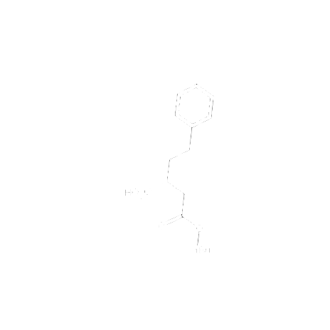 CC(C)(C)OC(=O)C[C@@H](CCc1ccccc1)C(=O)O